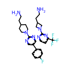 NCCC1CCN(c2ncc(-c3ccc(F)cc3)cn2)CC1.NCCC1CN(c2nccc(C(F)(F)F)n2)C1